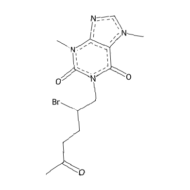 CC(=O)CCC(Br)Cn1c(=O)c2c(ncn2C)n(C)c1=O